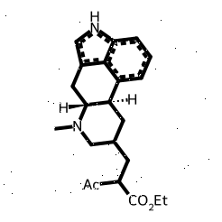 CCOC(=O)C(CC1C[C@@H]2c3cccc4[nH]cc(c34)C[C@H]2N(C)C1)C(C)=O